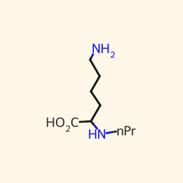 CCCNC(CCCCN)C(=O)O